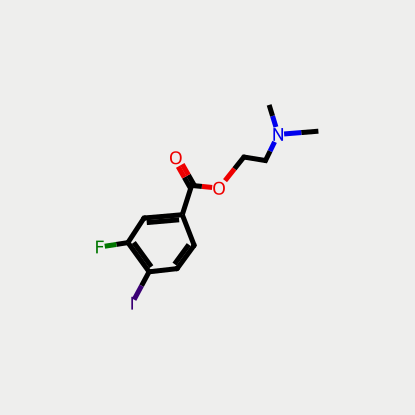 CN(C)CCOC(=O)c1ccc(I)c(F)c1